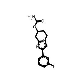 NC(=O)OC1CCn2cc(-c3cccc(F)c3)nc2C1